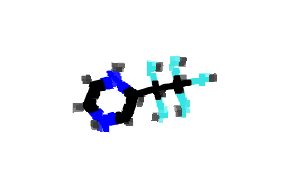 FC(F)(F)C(F)(F)c1[c]nccn1